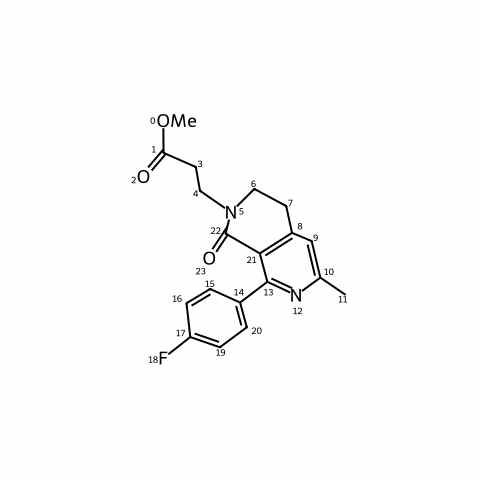 COC(=O)CCN1CCc2cc(C)nc(-c3ccc(F)cc3)c2C1=O